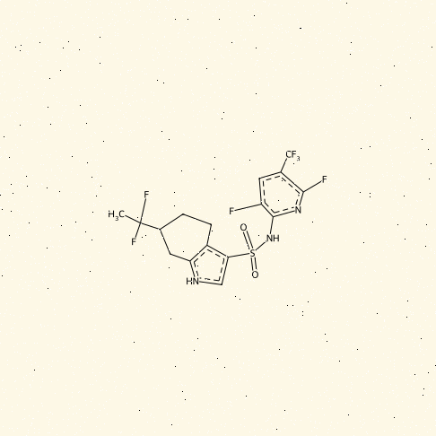 CC(F)(F)C1CCc2c(S(=O)(=O)Nc3nc(F)c(C(F)(F)F)cc3F)c[nH]c2C1